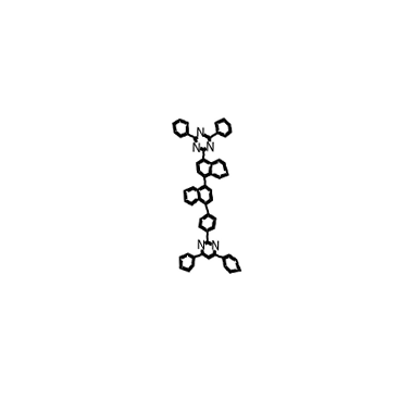 c1ccc(-c2cc(-c3ccccc3)nc(-c3ccc(-c4ccc(-c5ccc(-c6nc(-c7ccccc7)nc(-c7ccccc7)n6)c6ccccc56)c5ccccc45)cc3)n2)cc1